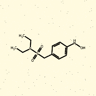 CCN(CC)S(=O)(=O)Cc1ccc(NO)cc1